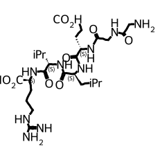 CC(C)C[C@H](NC(=O)[C@H](CCC(=O)O)NC(=O)CNC(=O)CN)C(=O)N[C@H](C(=O)N[C@@H](CCCNC(=N)N)C(=O)O)C(C)C